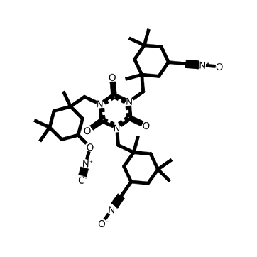 [C-]#[N+]OC1CC(C)(C)CC(C)(Cn2c(=O)n(CC3(C)CC(C#[N+][O-])CC(C)(C)C3)c(=O)n(CC3(C)CC(C#[N+][O-])CC(C)(C)C3)c2=O)C1